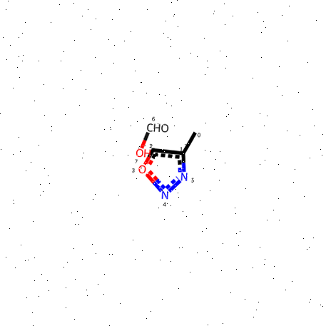 Cc1conn1.O=CO